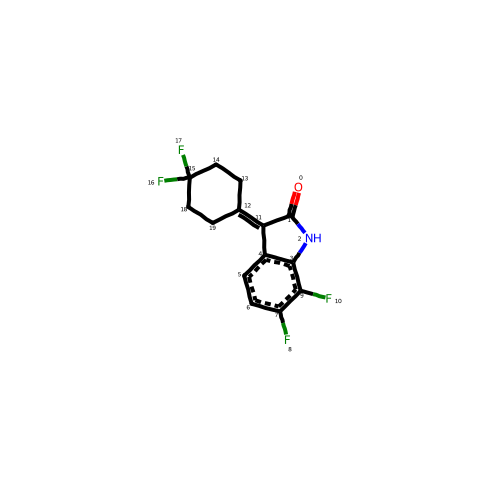 O=C1Nc2c(ccc(F)c2F)C1=C1CCC(F)(F)CC1